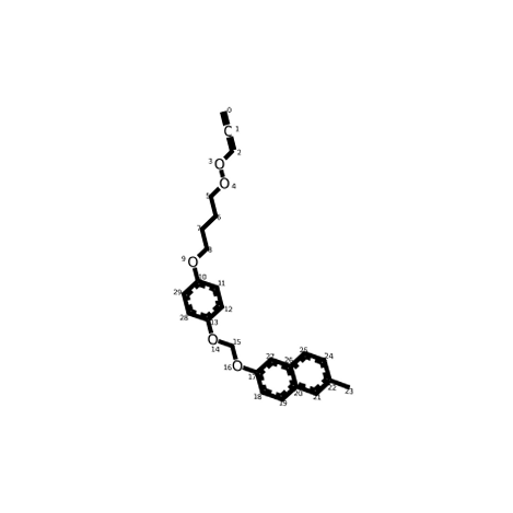 C=C=COOCCCCOc1ccc(OCOc2ccc3cc(C)ccc3c2)cc1